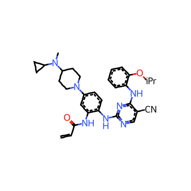 C=CC(=O)Nc1cc(N2CCC(N(C)C3CC3)CC2)ccc1Nc1ncc(C#N)c(Nc2ccccc2OC(C)C)n1